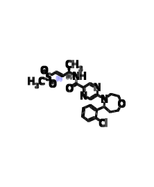 C[C@H](/C=C/S(C)(=O)=O)NC(=O)c1cnc(N2CCOCCC2c2ccccc2Cl)cn1